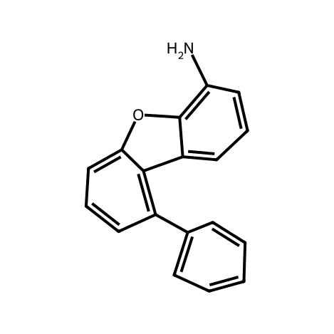 Nc1cccc2c1oc1cccc(-c3ccccc3)c12